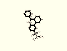 CN(C)S(=O)(=O)c1ccc2c(c1)C1CCCCC1C(c1ccccc1)N2